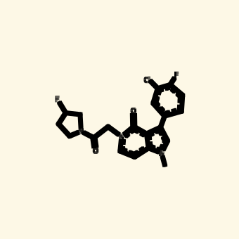 Cn1cc(-c2ccc(F)c(Cl)c2)c2c(=O)n(CC(=O)N3CCC(F)C3)ccc21